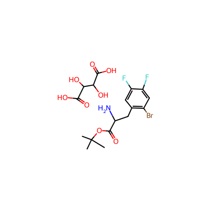 CC(C)(C)OC(=O)C(N)Cc1cc(F)c(F)cc1Br.O=C(O)C(O)C(O)C(=O)O